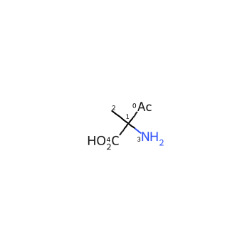 CC(=O)C(C)(N)C(=O)O